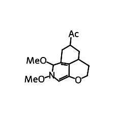 COC1C2=C3C(=CN1OC)OCCC3CC(C(C)=O)C2